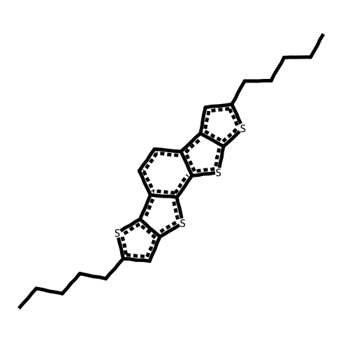 CCCCCc1cc2c(s1)sc1c2ccc2c3sc(CCCCC)cc3sc21